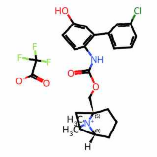 C[N+]1(C)[C@@H]2CCC[C@@]1(COC(=O)Nc1ccc(O)cc1-c1cccc(Cl)c1)CC2.O=C([O-])C(F)(F)F